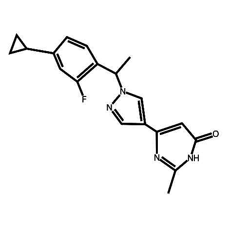 Cc1nc(-c2cnn(C(C)c3ccc(C4CC4)cc3F)c2)cc(=O)[nH]1